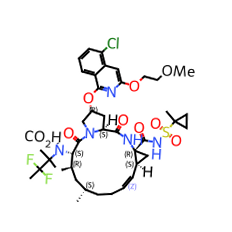 COCCOc1cc2c(Cl)cccc2c(O[C@@H]2C[C@H]3C(=O)N[C@]4(C(=O)NS(=O)(=O)C5(C)CC5)C[C@H]4/C=C\CC[C@H](C)C[C@@H](C)[C@H](N(C(=O)O)C(C)(C)C(C)(F)F)C(=O)N3C2)n1